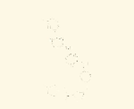 Cc1cccc(-c2nccc(Nc3ccnc(Nc4ccc(CN5CCC(C(=O)O[C@@H]6CCN(C)C6)C5)cc4)n3)n2)n1